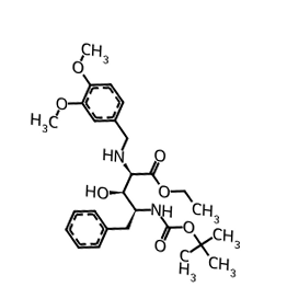 CCOC(=O)[C@H](NCc1ccc(OC)c(OC)c1)[C@H](O)[C@H](Cc1ccccc1)NC(=O)OC(C)(C)C